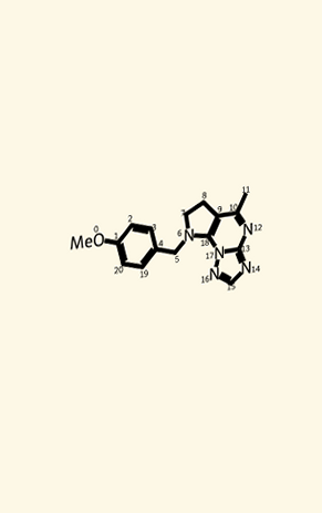 COc1ccc(CN2CCc3c(C)nc4ncnn4c32)cc1